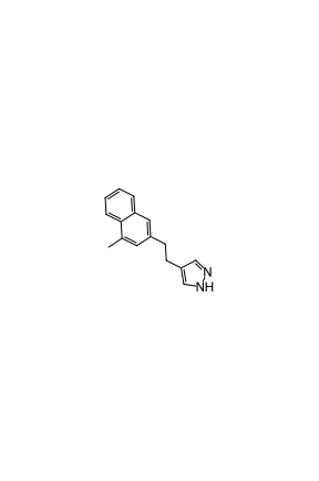 Cc1cc(CCc2cn[nH]c2)cc2ccccc12